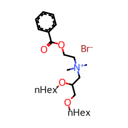 CCCCCCOCC(C[N+](C)(C)CCOC(=O)c1ccccc1)OCCCCCC.[Br-]